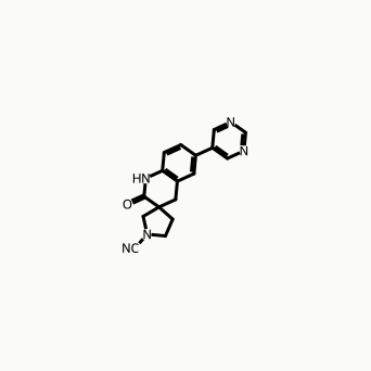 N#CN1CCC2(Cc3cc(-c4cncnc4)ccc3NC2=O)C1